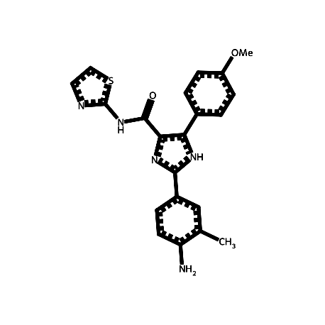 COc1ccc(-c2[nH]c(-c3ccc(N)c(C)c3)nc2C(=O)Nc2nccs2)cc1